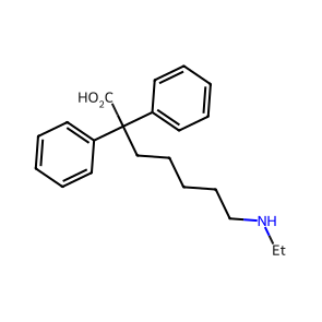 CCNCCCCCC(C(=O)O)(c1ccccc1)c1ccccc1